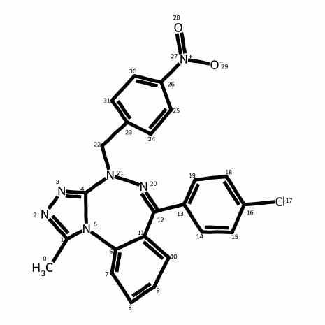 Cc1nnc2n1-c1ccccc1C(c1ccc(Cl)cc1)=NN2Cc1ccc([N+](=O)[O-])cc1